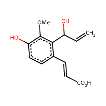 C=CC(O)c1c(C=CC(=O)O)ccc(O)c1OC